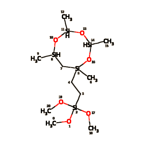 CO[Si](CC[Si]1(C)C[SiH](C)O[SiH](C)O[SiH](C)O1)(OC)OC